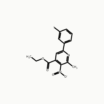 CCOC(=O)c1cc(-c2cccc(I)c2)nc(C)c1[N+](=O)[O-]